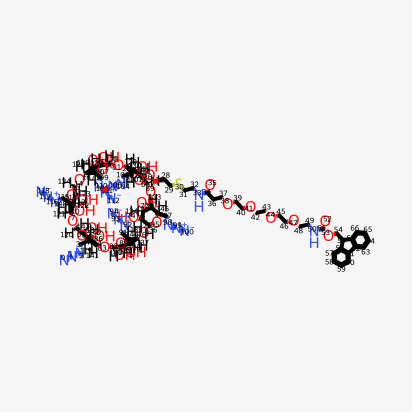 [N-]=[N+]=NC[C@H]1O[C@@H]2O[C@H]3[C@H](O)[C@@H](O)[C@@H](O[C@H]4[C@H](O)[C@@H](O)[C@@H](O[C@H]5[C@H](O)[C@@H](OCCCSCCNC(=O)CCOCCOCCOCCOCCNC(=O)OCC6c7ccccc7-c7ccccc76)[C@@H](O[C@H]6[C@H](O)[C@@H](O)[C@@H](O[C@H]7[C@H](O)[C@@H](O)[C@@H](O[C@H]1[C@H](O)[C@H]2O)O[C@@H]7CN=[N+]=[N-])O[C@@H]6CN=[N+]=[N-])O[C@@H]5CN=[N+]=[N-])O[C@@H]4CN=[N+]=[N-])O[C@@H]3CN=[N+]=[N-]